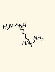 CC(CN)NCCCCCCNC(C)CN